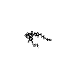 N.N.N#Cc1ccc(C(NS(=O)(=O)c2cc3sc(CSCCCN=[N+]=[N-])cc3s2)P(=O)(O)O)cc1F